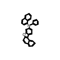 c1ccc(N(c2ccc3c(c2)oc2ccc4ccccc4c23)c2cccc3ccccc23)cc1